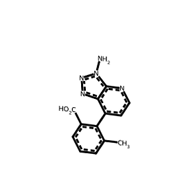 Cc1cccc(C(=O)O)c1-c1ccnc2c1nnn2N